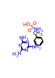 Cc1ccccc1.NS(=O)(=O)O.Nc1nc(N)nc(N)n1